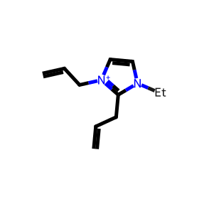 C=CCc1n(CC)cc[n+]1CC=C